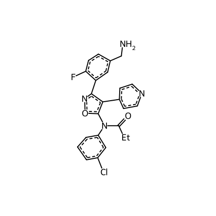 CCC(=O)N(c1cccc(Cl)c1)c1onc(-c2cc(CN)ccc2F)c1-c1ccncc1